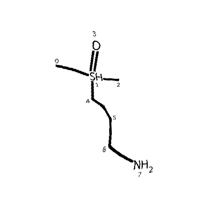 C[SH](C)(=O)CCCN